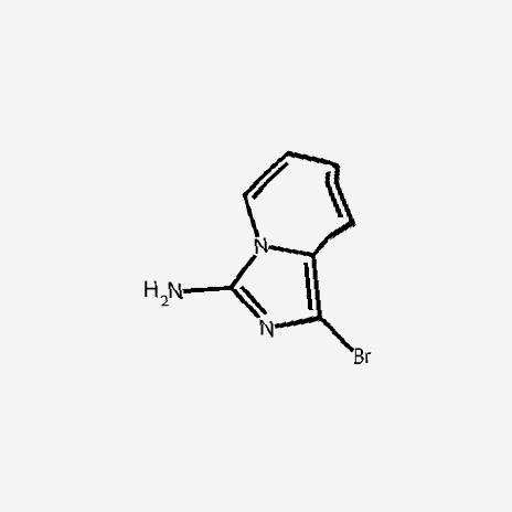 Nc1nc(Br)c2ccccn12